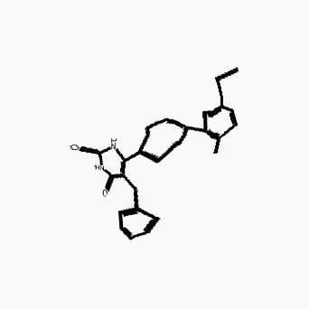 CCc1ccc(C)c(C2=CCC(c3[nH]c(=O)[nH]c(=O)c3Cc3ccccc3)CC2)c1